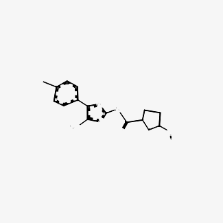 N#Cc1sc(NC(=O)C2CCC(OC=O)C2)nc1-c1ccc(F)cc1